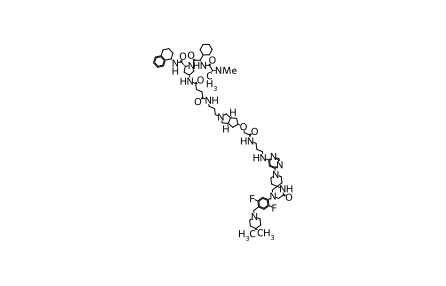 CN[C@@H](C)C(=O)N[C@H](C(=O)N1C[C@@H](NC(=O)CCC(=O)NCCCN2C[C@H]3C[C@@H](OCC(=O)NCCCNc4cc(N5CCC6(CC5)CN(c5cc(F)c(CN7CCC(C)(C)CC7)cc5F)CC(=O)N6)ncn4)C[C@H]3C2)C[C@H]1C(=O)N[C@H]1CCCc2ccccc21)C1CCCCC1